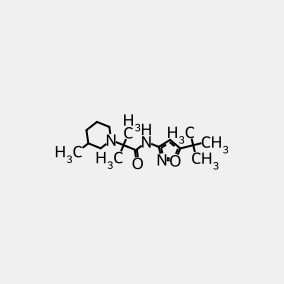 CC1CCCN(C(C)(C)C(=O)Nc2cc(C(C)(C)C)on2)C1